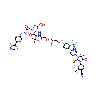 Cc1ncsc1-c1ccc(CNC2OC2[C@@H]2C[C@@H](O)CN2C(=O)[C@@H](NC(=O)COCC(F)CCOc2ccc(-c3ncc(N4C(=S)N(c5ccc(C#N)c(C(F)(F)F)c5F)C(=O)C4(C)C)cc3F)c(C(F)(F)F)c2)C(C)(C)C)cc1